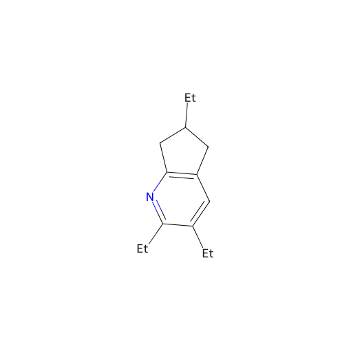 CCc1cc2c(nc1CC)CC(CC)C2